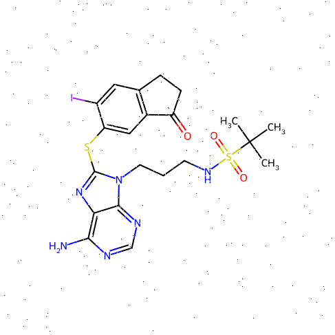 CC(C)(C)S(=O)(=O)NCCCn1c(Sc2cc3c(cc2I)CCC3=O)nc2c(N)ncnc21